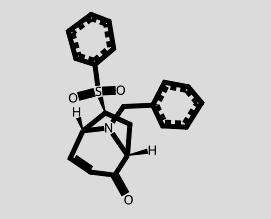 O=C1C=C[C@@H]2[C@@H](S(=O)(=O)c3ccccc3)C[C@H]1N2Cc1ccccc1